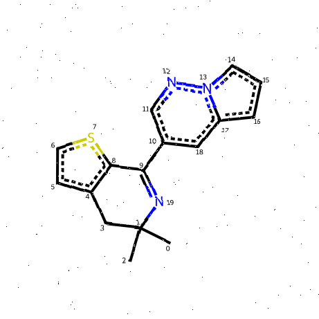 CC1(C)Cc2ccsc2C(c2cnn3cccc3c2)=N1